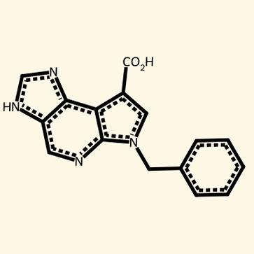 O=C(O)c1cn(Cc2ccccc2)c2ncc3[nH]cnc3c12